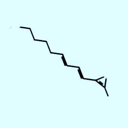 CCCCCCCCCCCCCC=CC=CC1=C(C(=O)O)O1